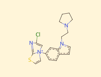 ClC1=C[N+]2(c3ccc4ccn(CCN5CCCC5)c4c3)C=CSC2=N1